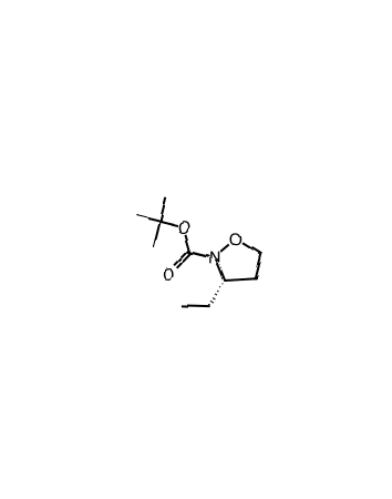 CC[C@H]1CCON1C(=O)OC(C)(C)C